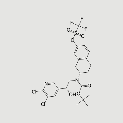 CC(C)(C)OC(=O)N(C[C@H](O)c1cnc(Cl)c(Cl)c1)[C@H]1CCc2ccc(OS(=O)(=O)C(F)(F)F)cc2C1